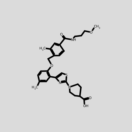 COCCCNC(=O)c1ccc(COc2ccc(C)cc2-c2csc(N3CCC(C(=O)O)CC3)n2)c(C)c1